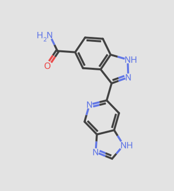 NC(=O)c1ccc2[nH]nc(-c3cc4[nH]cnc4cn3)c2c1